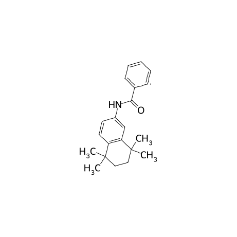 CC1(C)CCC(C)(C)c2cc(NC(=O)c3[c]cccc3)ccc21